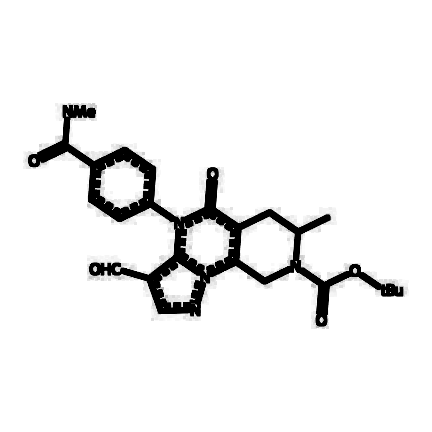 CNC(=O)c1ccc(-n2c(=O)c3c(n4ncc(C=O)c24)CN(C(=O)OC(C)(C)C)C(C)C3)cc1